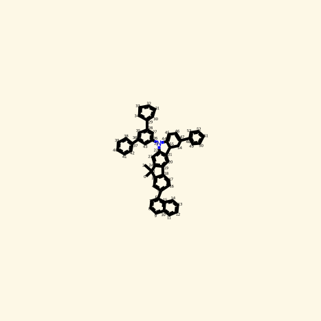 CC1(C)c2cc(-c3cccc4ccccc34)ccc2-c2cc3c(cc21)N(c1cc(-c2ccccc2)cc(-c2ccccc2)c1)C1=CC=C(c2ccccc2)CC13